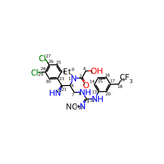 CCN(C(=O)CO)C(CN/C(=N\C#N)Nc1cccc(CC(F)(F)F)c1)C(=N)c1ccc(Cl)c(Cl)c1